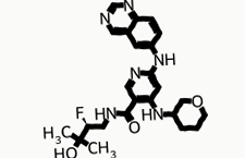 CC(C)(O)[C@H](F)CNC(=O)c1cnc(Nc2ccc3ncncc3c2)cc1NC1CCCOC1